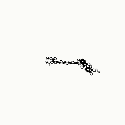 CC(OCCOCCOCCOCCNc1cccc2c1C(=O)N(C1CCC(=O)N(C)C1=O)C2=O)C(=O)O